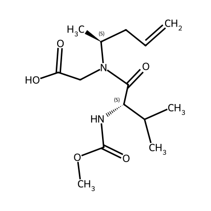 C=CC[C@H](C)N(CC(=O)O)C(=O)[C@@H](NC(=O)OC)C(C)C